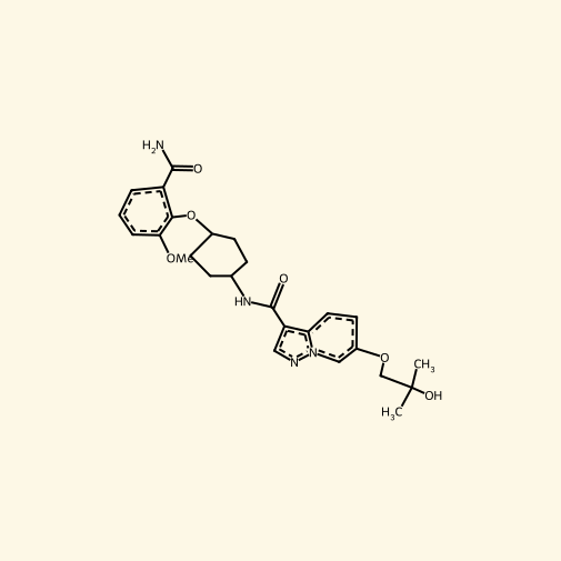 COc1cccc(C(N)=O)c1OC1CCC(NC(=O)c2cnn3cc(OCC(C)(C)O)ccc23)CC1